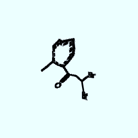 Cc1ccccc1C(=O)C(Br)Br